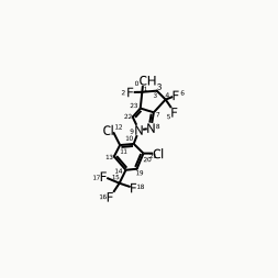 CC1(F)CC(F)(F)c2nn(-c3c(Cl)cc(C(F)(F)F)cc3Cl)cc21